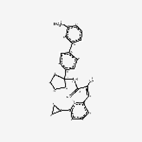 N#CC(=Cc1cccc(C2CC2)n1)C(=O)NC1(c2ccc(-c3cccc(C(=O)O)c3)cc2)CCCC1